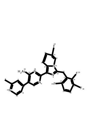 Cc1cc(-c2cnc(-c3nc(Cc4c(F)ccc(F)c4F)n4cc(F)ccc34)nc2[AsH2])ccn1